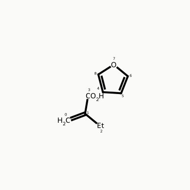 C=C(CC)C(=O)O.c1ccoc1